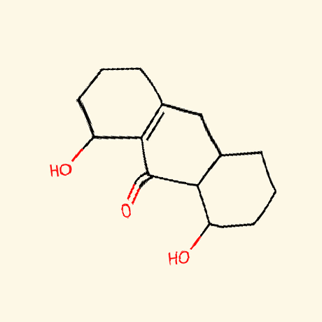 O=C1C2=C(CCCC2O)CC2CCCC(O)C12